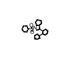 O=S(=O)(c1ccccc1)n1cc(-c2ccccc2-c2ccccc2)c2ccccc21